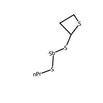 CCC[S][Sb][S]C1CCS1